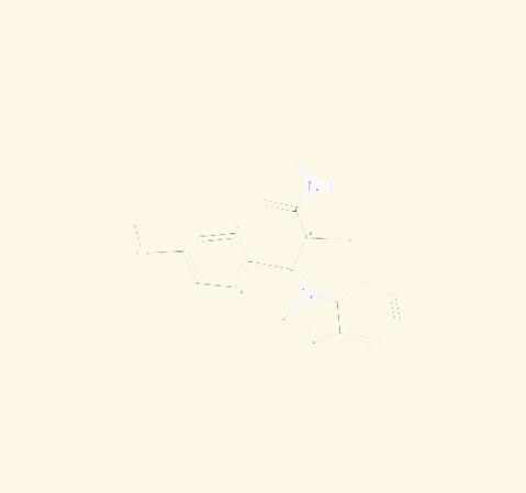 CNC(=O)C(O)C(c1ccc(OC)cc1)n1ccc2ccccc21